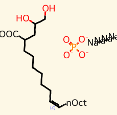 CCCCCCCC/C=C\CCCCCCC(CC(O)CO)C(=O)[O-].O=P([O-])([O-])[O-].[Na+].[Na+].[Na+].[Na+]